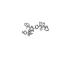 C[C@H]1COCCN1c1cc(C2(S(=O)(=O)c3ccncc3)CC2)nc(-c2ccc(NC(=O)Nc3ccccn3)cc2)n1